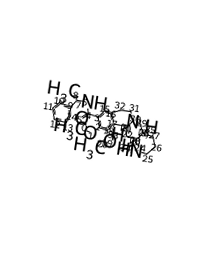 COc1c(C(=O)NC(C)c2ccccc2)cc2c(c1OC)[C@H]1C[C@H]3NCCC[C@H]3CN1CC2